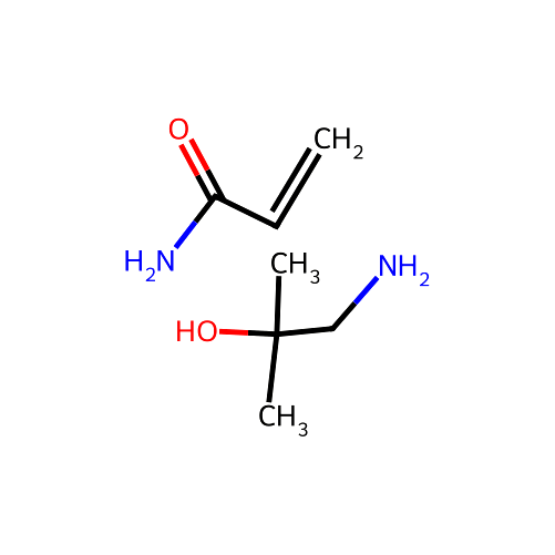 C=CC(N)=O.CC(C)(O)CN